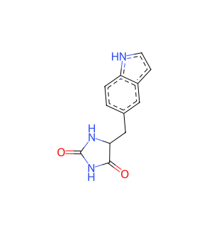 O=C1NC(=O)C(Cc2ccc3[nH]ccc3c2)N1